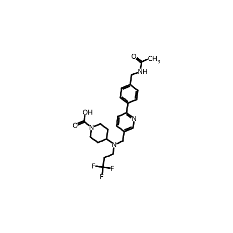 CC(=O)NCc1ccc(-c2ccc(CN(CCC(F)(F)F)C3CCN(C(=O)O)CC3)cn2)cc1